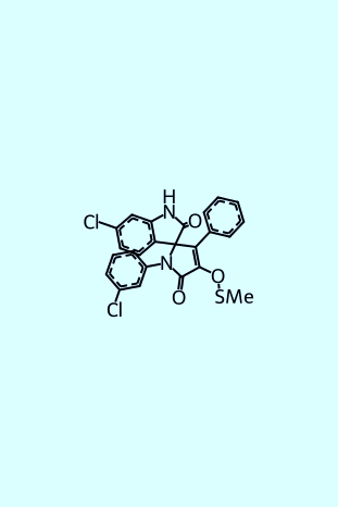 CSOC1=C(c2ccccc2)C2(C(=O)Nc3cc(Cl)ccc32)N(c2cccc(Cl)c2)C1=O